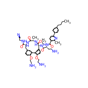 CCCCc1ccc(-c2ccc(C(=O)N[C@@H](CCN)C(=O)N(C)[C@@H]3C(=O)N[C@@H](C)C(=O)N[C@H](C(=O)NCC#N)Cc4ccc(OCCN)c(c4)-c4cc3ccc4OCCN)c(C)n2)cc1